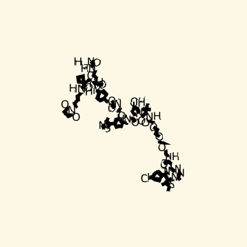 Cc1ncsc1-c1ccc(CNC(=O)[C@@H]2C[C@@H](O)CN2C(=O)[C@@H](NC(=O)COCCOCCOCCNC(=O)C[C@@H]2N=C(c3ccc(Cl)cc3)c3c(sc(C)c3C)-n3c(C)nnc32)C(C)(C)C)c(OCCN(C)C(=O)OCc2ccc(NC(=O)[C@H](CCCNC(N)=O)NC(=O)C3(C(=O)NCCCCCN4C(=O)C=CC4=O)CCC3)cc2)c1